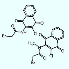 CN(C(=O)CBr)C1=C(Cl)C(=O)c2ccccc2C1=O.O=C(CBr)NC1=C(Cl)C(=O)c2ccccc2C1=O